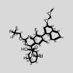 COCOc1cc(-c2c(I)cc3c(N4C[C@H]5CC[C@@H](C4)N5C(=O)O)nc(OCC(F)(F)F)nc3c2F)c2ccccc2c1